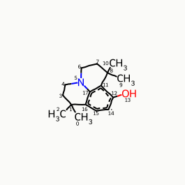 CC1(C)CCN2CCC(C)(C)c3c(O)[c]cc1c32